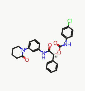 O=C(Nc1ccc(Cl)cc1)O[C@@H](C(=O)Nc1cccc(N2CCCCC2=O)c1)c1ccccc1